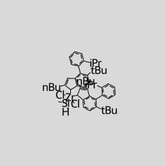 CCCCC1=Cc2c(ccc(C(C)(C)C)c2-c2ccccc2C(C)C)[CH]1[Zr]([Cl])([Cl])([CH]1C(CCCC)=Cc2c1ccc(C(C)(C)C)c2-c1ccccc1C(C)C)[SiH](C)C